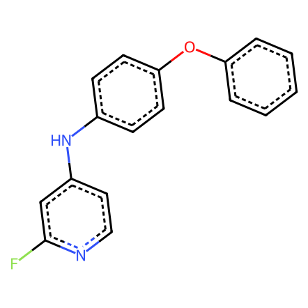 Fc1cc(Nc2ccc(Oc3ccccc3)cc2)ccn1